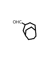 O=CC1CCC2CCCC(CC2)C1